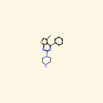 Cc1csc2nc(N3CCNCC3)nc(-c3ccccc3)c12